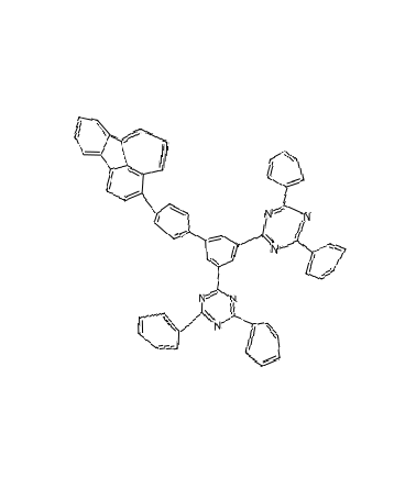 c1ccc(-c2nc(-c3ccccc3)nc(-c3cc(-c4ccc(-c5ccc6c7c(cccc57)-c5ccccc5-6)cc4)cc(-c4nc(-c5ccccc5)nc(-c5ccccc5)n4)c3)n2)cc1